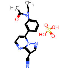 CCN(C(C)=O)c1cccc(-c2ccnc3c(C#N)cnn23)c1.O=S(=O)(O)O